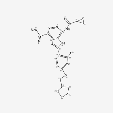 CNC(=O)c1cnc(NC(=O)C2CC2)c2[nH]c(-c3ccc(OCC4CCCO4)cc3F)cc12